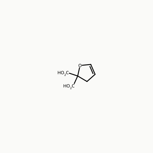 O=C(O)C1(C(=O)O)CC=CO1